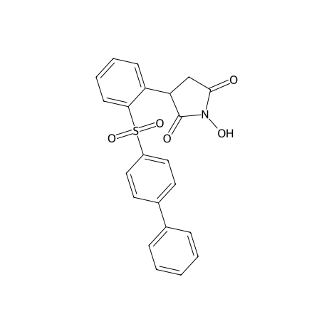 O=C1CC(c2ccccc2S(=O)(=O)c2ccc(-c3ccccc3)cc2)C(=O)N1O